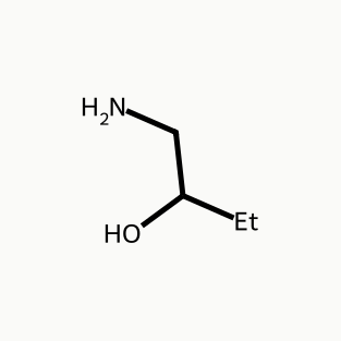 [CH2]CC(O)CN